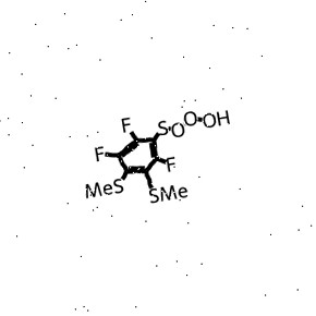 CSc1c(F)c(F)c(SOOO)c(F)c1SC